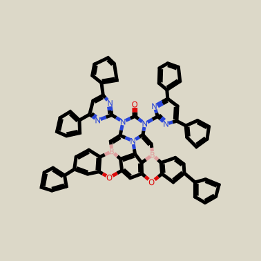 O=C1N(c2nc(-c3ccccc3)cc(-c3ccccc3)n2)C2=CB3c4ccc(-c5ccccc5)cc4Oc4cc5c6c(c43)N2C(=CB6c2ccc(-c3ccccc3)cc2O5)N1c1nc(-c2ccccc2)cc(-c2ccccc2)n1